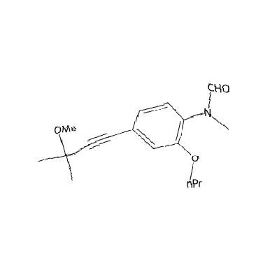 CCCOc1cc(C#CC(C)(C)OC)ccc1N(C)C=O